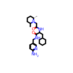 CC1CCC[C@H](C)N1CC(=O)NC(CC1CCCCC1)C(=O)NCc1ccc(N)nc1